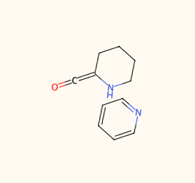 O=C=C1CCCCN1.c1ccncc1